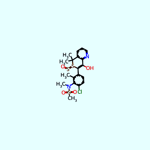 Cc1c(C2=C(O)c3ncccc3C(C)(C)S2=S=O)ccc(Cl)c1N(C)S(C)(=O)=O